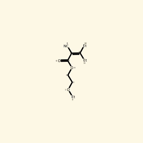 CCOCCOC(=O)C(C#N)=C(CC)CC